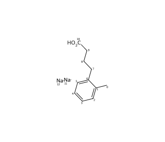 Cc1ccccc1CCCC(=O)O.[Na].[Na]